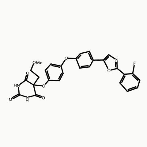 COCCC1(Oc2ccc(Oc3ccc(-c4cnc(-c5ccccc5F)o4)cc3)cc2)C(=O)NC(=O)NC1=O